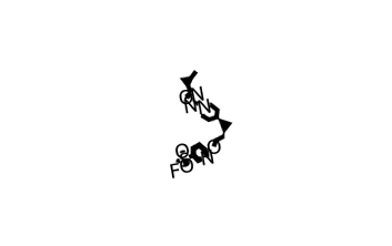 CC1CC1c1nc(N2CCC([C@H]3C[C@H]3CCOc3ccc(S(=O)(=O)CF)cn3)CC2)no1